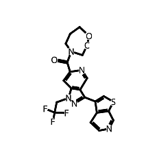 O=C(c1cc2c(cn1)c(-c1csc3cnccc13)nn2CC(F)(F)F)N1CCCOCC1